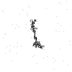 CC1(C)[C@H](NC(=O)c2ccc(CCCCN3CCN(CCNc4ccc(F)c5c4C(=O)N(C4CCC(=O)NC4=O)C5=O)CC3)cc2)C(C)(C)[C@H]1Oc1ccc(C#N)c(Cl)c1